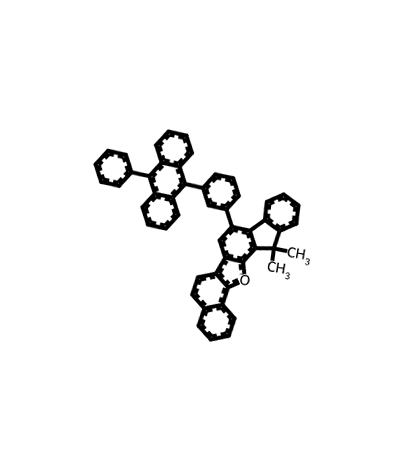 CC1(C)c2ccccc2-c2c(-c3cccc(-c4c5ccccc5c(-c5ccccc5)c5ccccc45)c3)cc3c(oc4c5ccccc5ccc34)c21